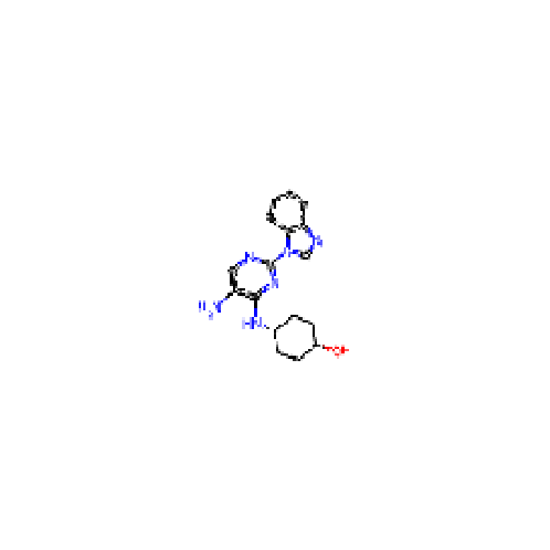 Nc1cnc(-n2cnc3ccccc32)nc1N[C@H]1CC[C@H](O)CC1